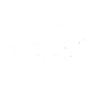 COc1cc(/C=C/c2nc3n(n2)CCC[C@@]3(O)c2ccc(F)cc2)c(F)cc1-n1cnc(C)c1